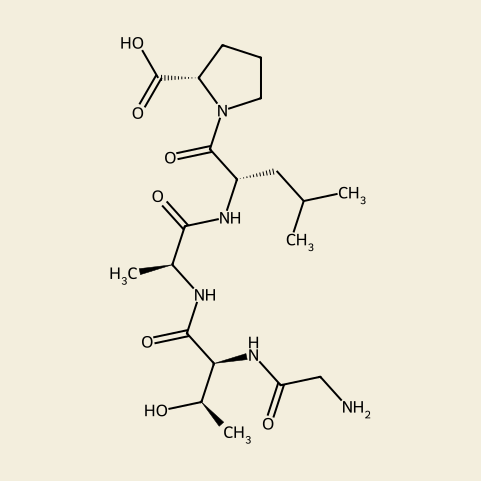 CC(C)C[C@H](NC(=O)[C@H](C)NC(=O)[C@@H](NC(=O)CN)[C@@H](C)O)C(=O)N1CCC[C@H]1C(=O)O